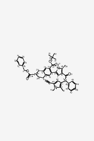 Cc1c(N(C(=O)c2cc(-c3cc4c(cc3C(=O)OC(C)(C)C)CN(C(=O)OCc3ccccc3)CC4)n(C)c2C)c2ccccc2)cc(C#N)n1C